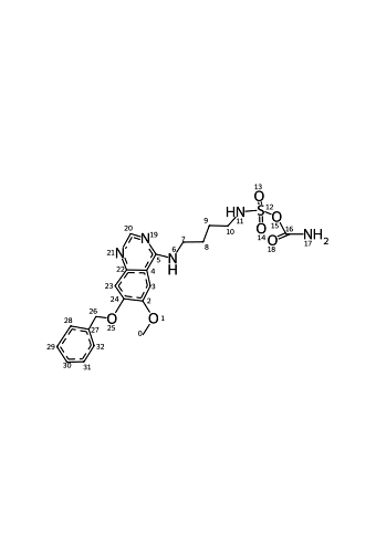 COc1cc2c(NCCCCNS(=O)(=O)OC(N)=O)ncnc2cc1OCc1ccccc1